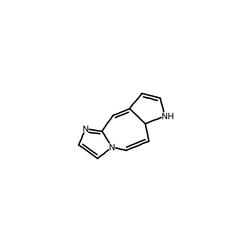 C1=CC2=Cc3nccn3C=CC2N1